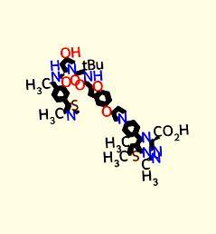 Cc1ncsc1-c1ccc([C@H](C)NC(=O)[C@@H]2C[C@@H](O)CN2C(=O)[C@@H](NC(=O)c2cc3cc(O[C@H]4CCN(c5ccc(C6=N[C@@H](CC(=O)O)c7nnc(C)n7-c7sc(C)c(C)c76)cc5)C4)ccc3o2)C(C)(C)C)cc1